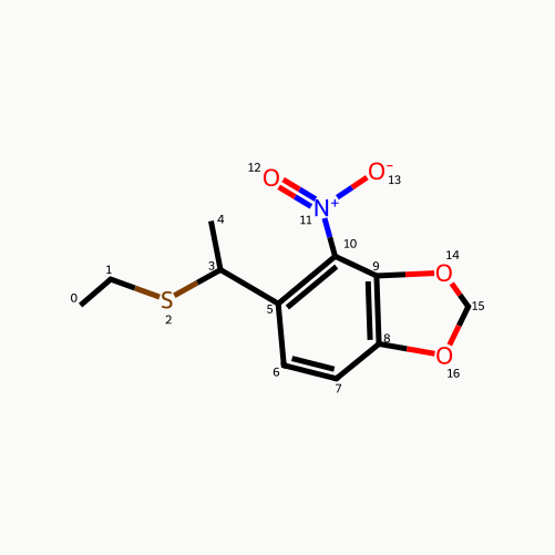 CCSC(C)c1ccc2c(c1[N+](=O)[O-])OCO2